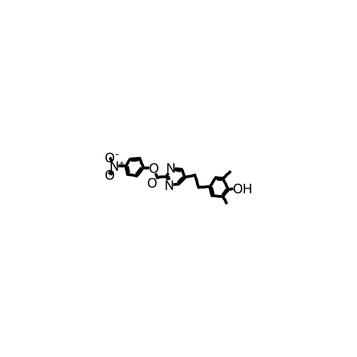 Cc1cc(CCc2cnc(C(=O)Oc3ccc([N+](=O)[O-])cc3)nc2)cc(C)c1O